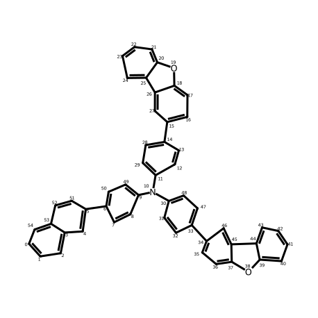 c1ccc2cc(-c3ccc(N(c4ccc(-c5ccc6oc7ccccc7c6c5)cc4)c4ccc(-c5ccc6oc7ccccc7c6c5)cc4)cc3)ccc2c1